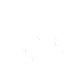 CC(F)(F)COc1nnc(-c2cc(Cl)ccc2F)cc1Nc1ccnc(NC=O)c1